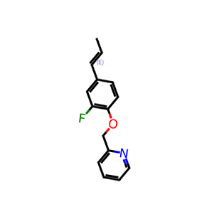 C/C=C/c1ccc(OCc2ccccn2)c(F)c1